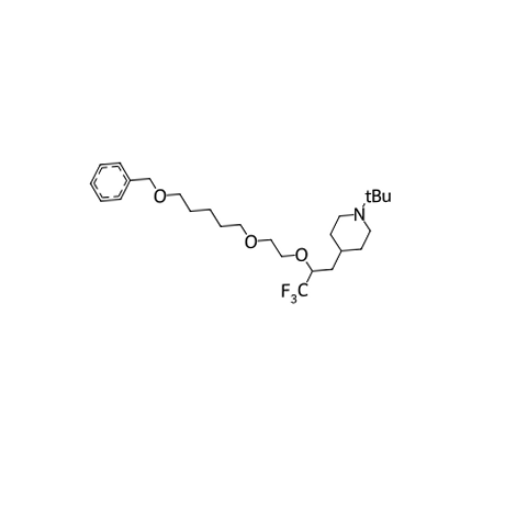 CC(C)(C)N1CCC(CC(OCCOCCCCCOCc2ccccc2)C(F)(F)F)CC1